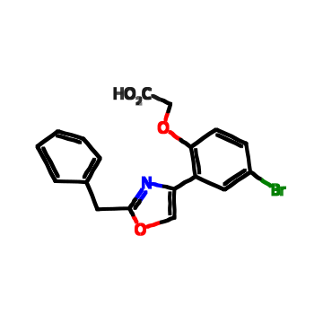 O=C(O)COc1ccc(Br)cc1-c1coc(Cc2ccccc2)n1